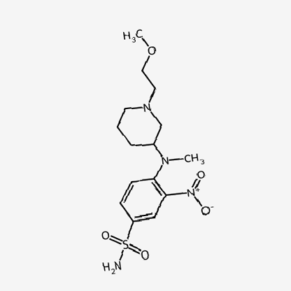 COCCN1CCCC(N(C)c2ccc(S(N)(=O)=O)cc2[N+](=O)[O-])C1